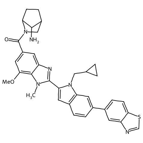 COc1cc(C(=O)N2CC3CCC2C3N)cc2nc(-c3cc4ccc(-c5ccc6scnc6c5)cc4n3CC3CC3)n(C)c12